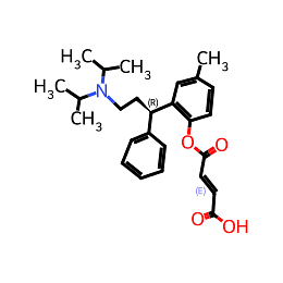 Cc1ccc(OC(=O)/C=C/C(=O)O)c([C@H](CCN(C(C)C)C(C)C)c2ccccc2)c1